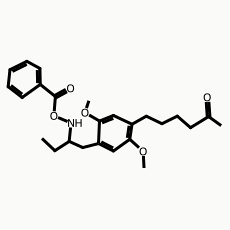 CCC(Cc1cc(OC)c(CCCCC(C)=O)cc1OC)NOC(=O)c1ccccc1